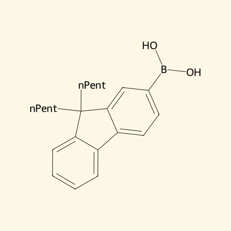 CCCCCC1(CCCCC)c2ccccc2-c2ccc(B(O)O)cc21